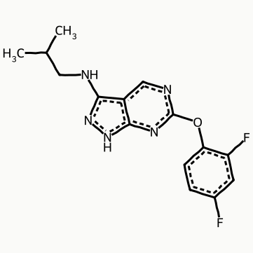 CC(C)CNc1n[nH]c2nc(Oc3ccc(F)cc3F)ncc12